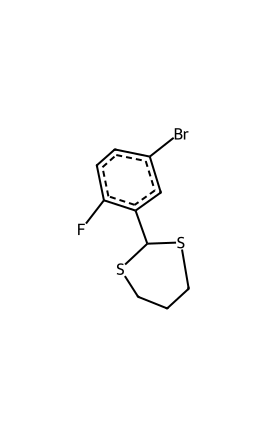 Fc1ccc(Br)cc1C1SCCCS1